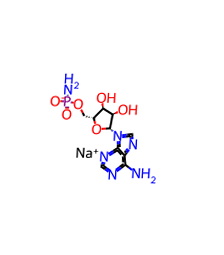 Nc1ncnc2c1ncn2[C@@H]1O[C@H](COP(N)(=O)[O-])[C@@H](O)[C@H]1O.[Na+]